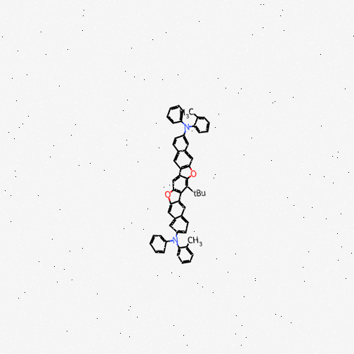 Cc1ccccc1N(c1ccccc1)c1ccc2cc3c(cc2c1)oc1c(C(C)(C)C)c2c(cc13)oc1cc3cc(N(c4ccccc4)c4ccccc4C)ccc3cc12